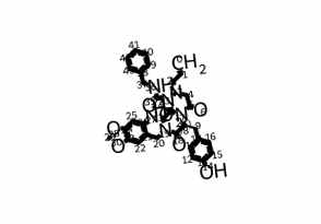 C=CCN1CC(=O)N2[C@@H](Cc3ccc(O)cc3)C(=O)N(Cc3cc4c(cc3[N+](=O)[O-])OCO4)C[C@@H]2N1C(=O)NCc1ccccc1